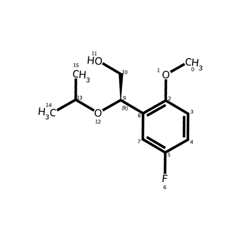 COc1ccc(F)cc1[C@H](CO)OC(C)C